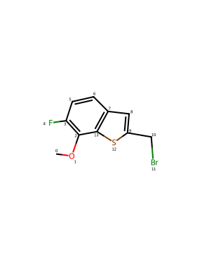 COc1c(F)ccc2cc(CBr)sc12